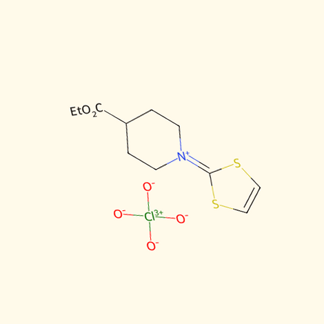 CCOC(=O)C1CC[N+](=c2sccs2)CC1.[O-][Cl+3]([O-])([O-])[O-]